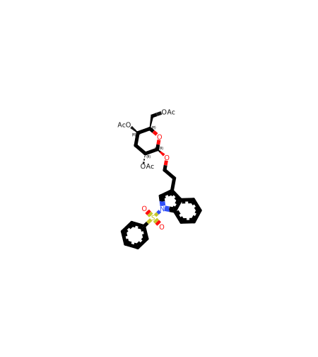 CC(=O)OC[C@H]1O[C@@H](OCCc2cn(S(=O)(=O)c3ccccc3)c3ccccc23)[C@H](OC(C)=O)C[C@H]1OC(C)=O